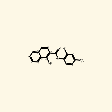 O=C(Nc1ccc(C(F)(F)F)cc1Cl)c1ccc2ccccc2c1O